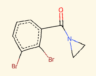 O=C(c1cccc(Br)c1Br)N1CC1